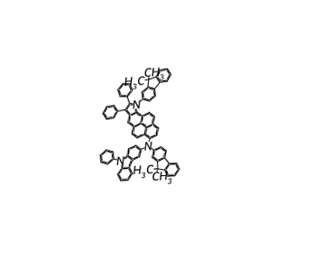 CC1(C)c2ccccc2-c2ccc(N(c3ccc4c(c3)c3ccccc3n4-c3ccccc3)c3ccc4ccc5c6c(ccc3c46)cc3c(-c4ccccc4)c(-c4ccccc4)n(-c4ccc6c(c4)C(C)(C)c4ccccc4-6)c35)cc21